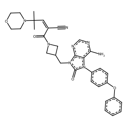 CC(C)(/C=C(/C#N)C(=O)N1CC(Cn2c(=O)n(-c3ccc(Oc4ccccc4)cc3)c3c(N)ncnc32)C1)N1CCOCC1